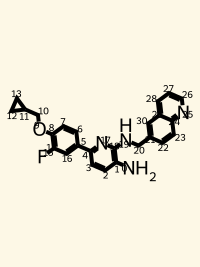 Nc1ccc(-c2ccc(OCC3CC3)c(F)c2)nc1NCc1ccc2ncccc2c1